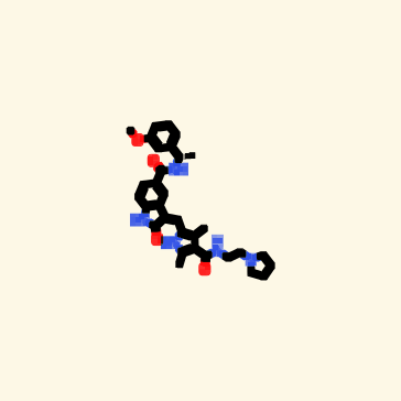 COc1cccc([C@H](C)NC(=O)c2ccc3c(c2)/C(=C/c2[nH]c(C)c(C(=O)NCCN4CCCC4)c2C)C(=O)N3)c1